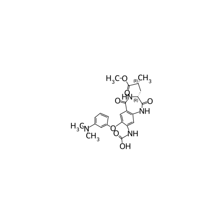 COC(=O)[C@H](C)C[C@H]1NC(=O)c2cc(Oc3cccc(N(C)C)c3)c(NC(=O)O)cc2NC1=O